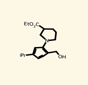 CCOC(=O)C1CCCN(c2cc(C(C)C)ccc2CO)C1